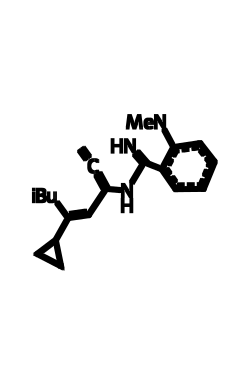 C=C=C(/C=C(\C(C)CC)C1CC1)NC(=N)c1ccccc1NC